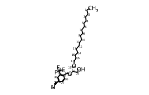 CCCCCCCCCCCCCCCCCCOC[C@H](CO)OCc1ccc(C#N)cc1C(F)(F)F